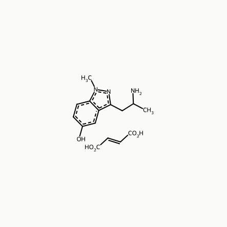 CC(N)Cc1nn(C)c2ccc(O)cc12.O=C(O)C=CC(=O)O